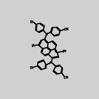 CCc1ccc(N(c2ccc(C#N)cc2)c2cc(C(C)C)c3ccc4c(N(c5ccc(C#N)cc5)c5ccc(CC)cc5)cc(C(C)C)c5ccc2c3c54)cc1